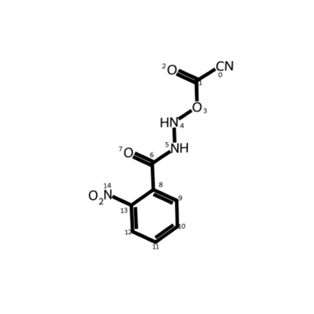 N#CC(=O)ONNC(=O)c1ccccc1[N+](=O)[O-]